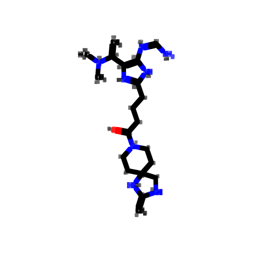 C=C1NCC2(CCN(C(=O)CCCc3nc(C(=C)N(C)C)c(/N=C\N)[nH]3)CC2)N1